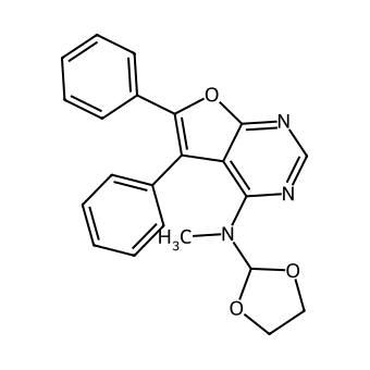 CN(c1ncnc2oc(-c3ccccc3)c(-c3ccccc3)c12)C1OCCO1